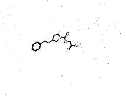 NC(=O)COC(=O)N1CCC(CCc2ccccc2)C1